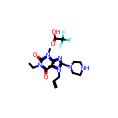 C=CCn1c(N2CCNCC2)nc2c1c(=O)n(CC)c(=O)n2C.O=C(O)C(F)(F)F